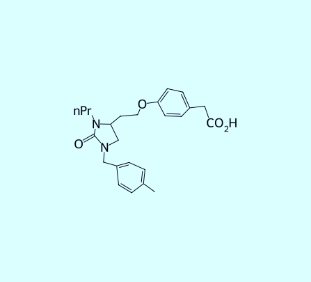 CCCN1C(=O)N(Cc2ccc(C)cc2)CC1CCOc1ccc(CC(=O)O)cc1